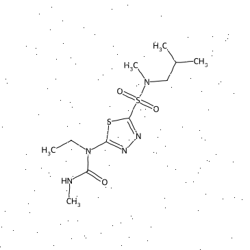 CCN(C(=O)NC)c1nnc(S(=O)(=O)N(C)CC(C)C)s1